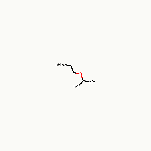 CCCCCCCCOC(CCC)CCC